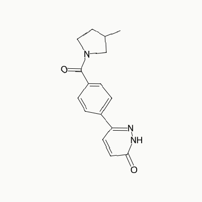 CC1CCN(C(=O)c2ccc(-c3ccc(=O)[nH]n3)cc2)C1